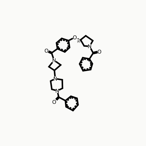 O=C(c1ccccc1)N1CCN(C2CN(C(=O)c3ccc(O[C@@H]4CCN(C(=O)c5ccccc5)C4)cc3)C2)CC1